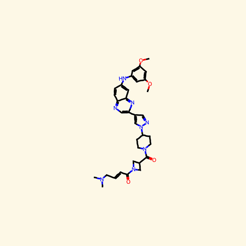 COc1cc(Nc2ccc3ncc(-c4cnn(C5CCN(C(=O)C6CN(C(=O)/C=C/CN(C)C)C6)CC5)c4)nc3c2)cc(OC)c1